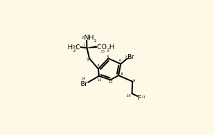 C[C@](N)(Cc1cc(Br)c(CCF)cc1Br)C(=O)O